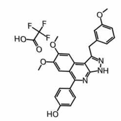 COc1cccc(Cc2n[nH]c3nc(-c4ccc(O)cc4)c4cc(OC)c(OC)cc4c23)c1.O=C(O)C(F)(F)F